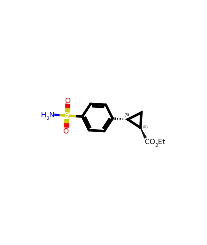 CCOC(=O)[C@@H]1C[C@H]1c1ccc(S(N)(=O)=O)cc1